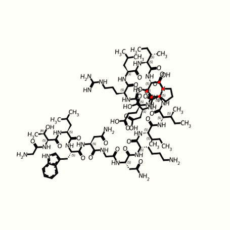 CC[C@H](C)[C@H](NC(=O)[C@H](CC(C)C)NC(=O)[C@H](CCCNC(=N)N)NC(=O)[C@H](CCC(=O)O)NC(=O)[C@H](CC(=O)O)NC(=O)[C@@H](NC(=O)[C@@H](NC(=O)[C@H](CCCCN)NC(=O)[C@H](CC(N)=O)NC(=O)CNC(=O)[C@H](CC(N)=O)NC(=O)[C@H](Cc1c[nH]c2ccccc12)NC(=O)[C@H](CC(C)C)NC(=O)[C@@H](NC(=O)CN)[C@@H](C)O)[C@@H](C)CC)[C@@H](C)CC)C(=O)N[C@H](C(=O)N1CCC[C@H]1C(=O)N[C@@H](CC(=O)O)C(=O)O)[C@@H](C)O